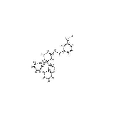 COc1cccc(CCN2CCCC(C(OC)(c3ccccc3)c3ccccc3)C2)c1